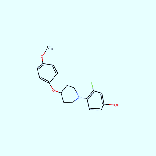 Oc1ccc(N2CCC(Oc3ccc(OC(F)(F)F)cc3)CC2)c(F)c1